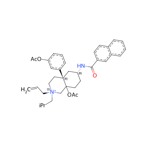 C=CC[N@@+]1(CC(C)C)CC[C@]2(c3cccc(OC(C)=O)c3)C[C@H](NC(=O)c3ccc4ccccc4c3)CCC2(OC(C)=O)C1